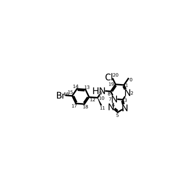 Cc1nc2ncnn2c(N[C@@H](C)c2ccc(Br)cc2)c1Cl